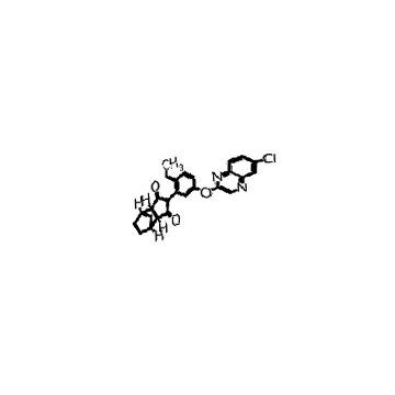 CCc1ccc(Oc2cnc3cc(Cl)ccc3n2)cc1C1C(=O)[C@@H]2[C@@H]3CC[C@@H](C3)[C@@H]2C1=O